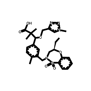 CC[C@@H]1CN(Cc2cc(C(OCc3cn(C)nn3)C(C)(C)C(=O)O)ccc2C)S(=O)(=O)c2ccccc2O1